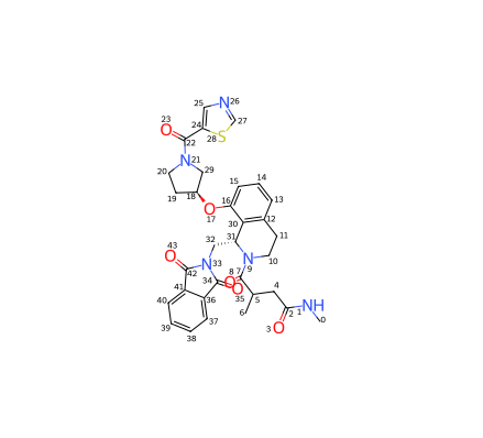 CNC(=O)CC(C)C(=O)N1CCc2cccc(O[C@H]3CCN(C(=O)c4cncs4)C3)c2[C@H]1CN1C(=O)c2ccccc2C1=O